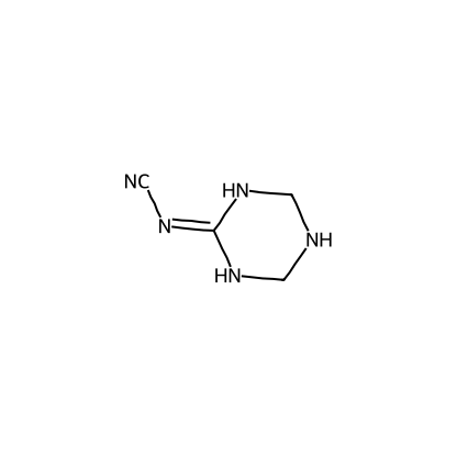 N#CN=C1NCNCN1